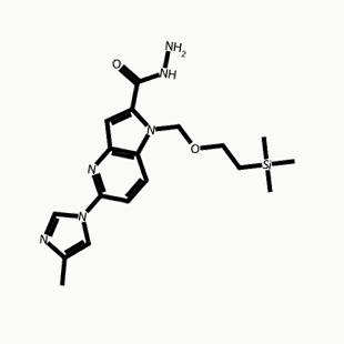 Cc1cn(-c2ccc3c(cc(C(=O)NN)n3COCC[Si](C)(C)C)n2)cn1